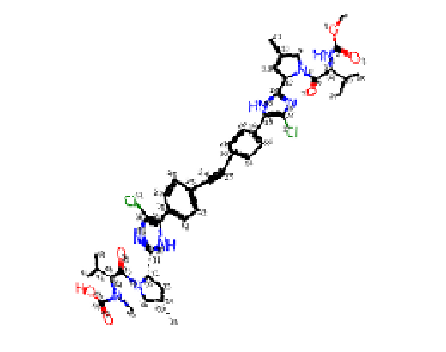 COC(=O)N[C@H](C(=O)N1CC(C)CC1c1nc(Cl)c(-c2ccc(C#Cc3ccc(-c4[nH]c([C@@H]5C[C@H](C)CN5C(=O)[C@H](C(C)C)N(C)C(=O)O)nc4Cl)cc3)cc2)[nH]1)C(C)C